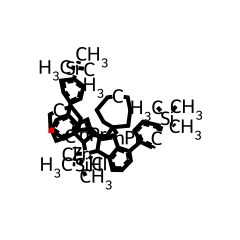 CCCC1(CC2=Cc3c(-c4ccc([Si](C)(C)C)cc4)cccc3[CH]2[Zr]([Cl])([Cl])([CH]2C(CC3(CCC)CCCCCCC3)=Cc3c(-c4ccc([Si](C)(C)C)cc4)cccc32)[SiH](C)C)CCCCCCC1